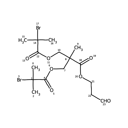 CC(C)(Br)C(=O)OCC(C)(COC(=O)C(C)(C)Br)C(=O)OCCC=O